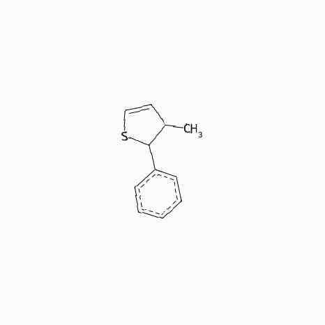 CC1C=CSC1c1ccccc1